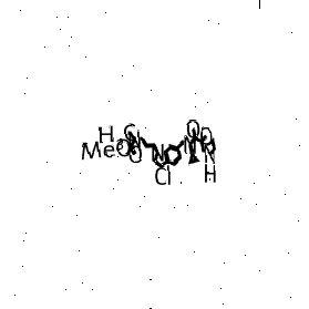 COC(=O)N(C)CCCN1CC(Cl)c2ccc(CN(C(=O)C3CNCCO3)C3CC3)cc21